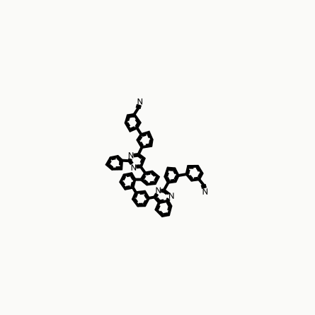 N#Cc1cccc(-c2cccc(-c3cc(-c4ccccc4-c4ccccc4-c4cccc(-c5nc(-c6cccc(-c7cccc(C#N)c7)c6)nc6ccccc56)c4)nc(-c4ccccc4)n3)c2)c1